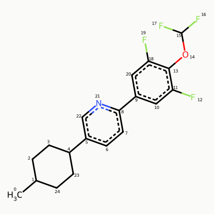 CC1CCC(c2ccc(-c3cc(F)c(OC(F)F)c(F)c3)nc2)CC1